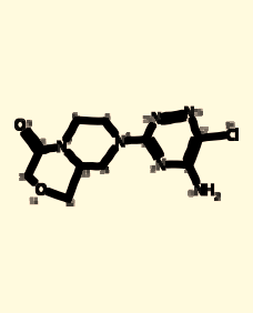 Nc1nc(N2CCN3C(=O)COCC3C2)nnc1Cl